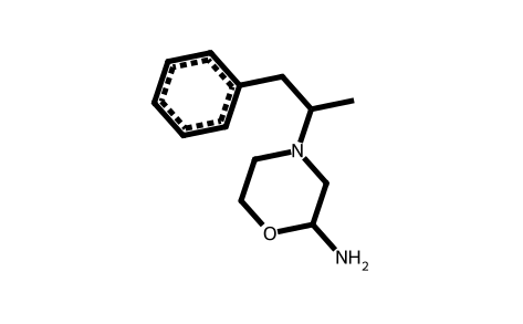 CC(Cc1ccccc1)N1CCOC(N)C1